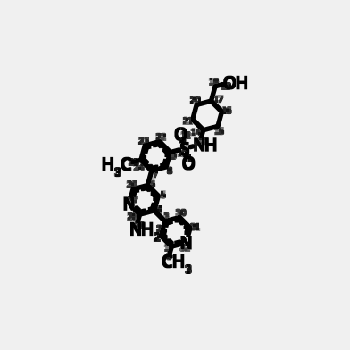 Cc1cc(-c2cc(-c3cc(S(=O)(=O)NC4CCC(CO)CC4)ccc3C)cnc2N)ccn1